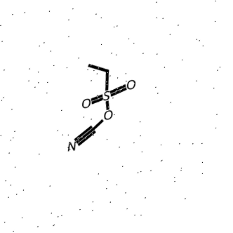 CCS(=O)(=O)OC#N